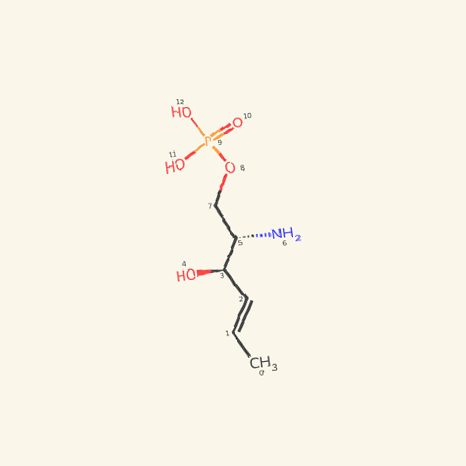 C/C=C/[C@@H](O)[C@@H](N)COP(=O)(O)O